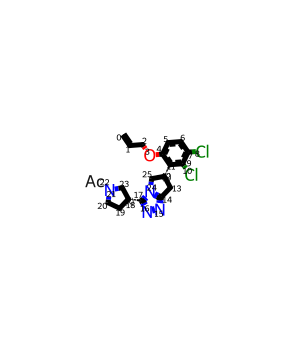 C=CCOc1ccc(Cl)c(Cl)c1[C@@H]1Cc2nnc([C@@H]3CCN(C(C)=O)C3)n2C1